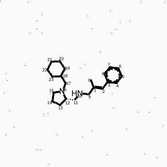 C/C(=C\c1ccccc1)CNC[C@@H]1CCCN1CC1CCCCC1